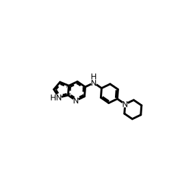 C1=CC(Nc2cnc3[nH]ccc3c2)CC=C1N1CCCCC1